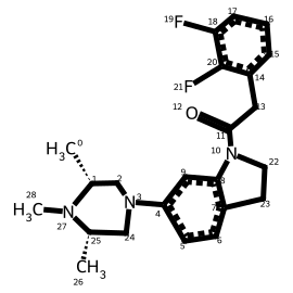 C[C@@H]1CN(c2ccc3c(c2)N(C(=O)Cc2cccc(F)c2F)CC3)C[C@H](C)N1C